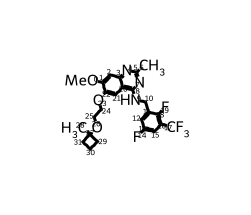 COc1cc2nc(C)nc(NCc3cc(F)cc(C(F)(F)F)c3F)c2cc1OCCOC1(C)CCC1